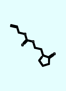 C=CCOC(=O)OCCN1CCCC1=O